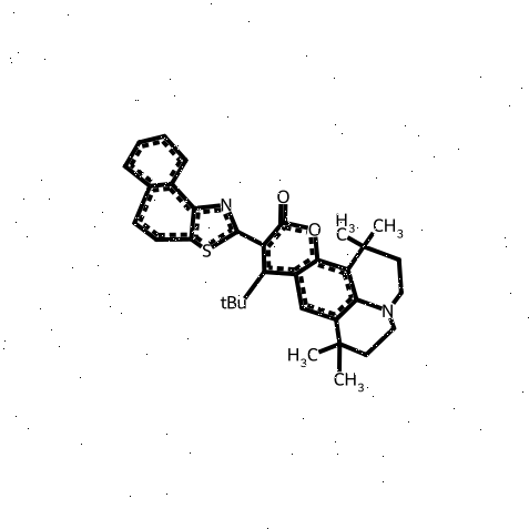 CC(C)(C)c1c(-c2nc3c(ccc4ccccc43)s2)c(=O)oc2c3c4c(cc12)C(C)(C)CCN4CCC3(C)C